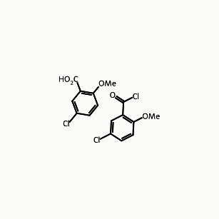 COc1ccc(Cl)cc1C(=O)Cl.COc1ccc(Cl)cc1C(=O)O